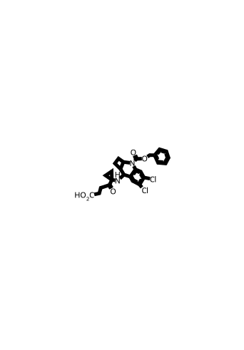 O=C(O)CCC(=O)C1(NC2c3cc(Cl)c(Cl)cc3N(C(=O)OCc3ccccc3)C3CCC23)CC1